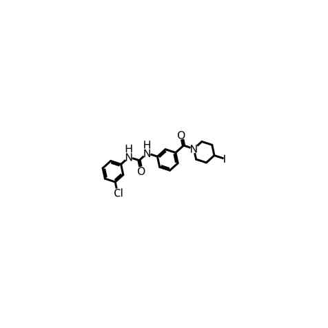 O=C(Nc1cccc(Cl)c1)Nc1cccc(C(=O)N2CCC(I)CC2)c1